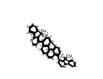 CC1(C)c2ccccc2-c2nccc(-c3ccc4c5c3ccc3ccc6c(-c7ccnc8c7C(C)(C)c7ccccc7-8)ccc-4c6c35)c21